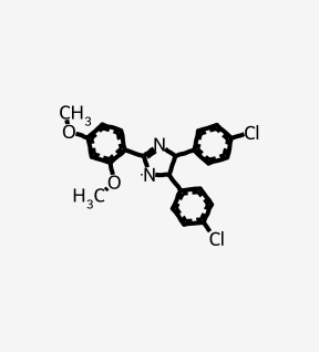 COc1ccc(C2=NC(c3ccc(Cl)cc3)C(c3ccc(Cl)cc3)[N]2)c(OC)c1